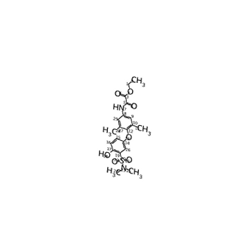 CCOC(=O)C(=O)Nc1cc(C)c(Oc2ccc(O)c(S(=O)(=O)N(C)C)c2)c(C)c1